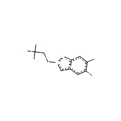 [CH2]C(C)(O)CCn1cc2cc(N)c(Br)cc2n1